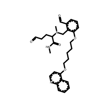 CNC(=O)C(CCC=O)N(C)Cc1c(C=O)cccc1OCCCCCOc1ccnc2ccccc12